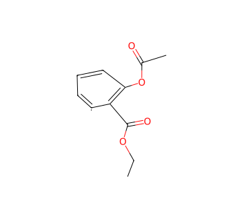 CCOC(=O)c1[c]cccc1OC(C)=O